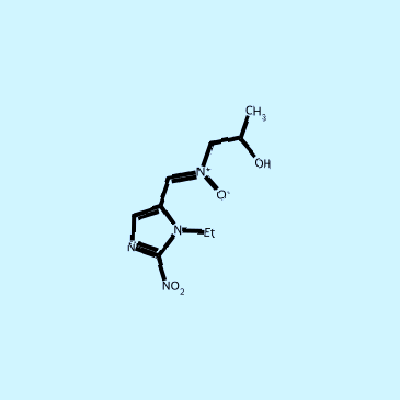 CCn1c(C=[N+]([O-])CC(C)O)cnc1[N+](=O)[O-]